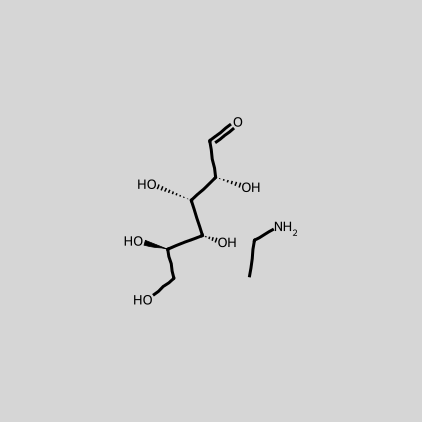 CCN.O=C[C@H](O)[C@@H](O)[C@H](O)[C@H](O)CO